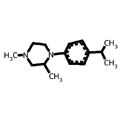 CC(C)c1ccc(N2CCN(C)CC2C)cc1